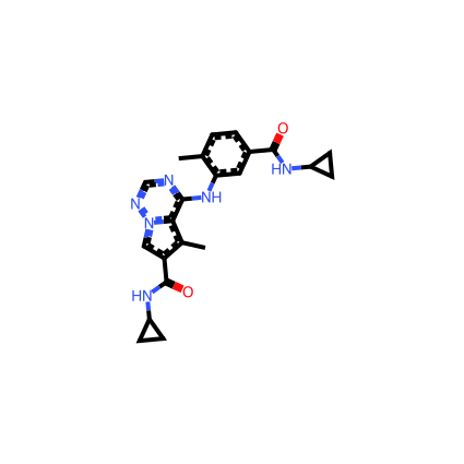 Cc1ccc(C(=O)NC2CC2)cc1Nc1ncnn2cc(C(=O)NC3CC3)c(C)c12